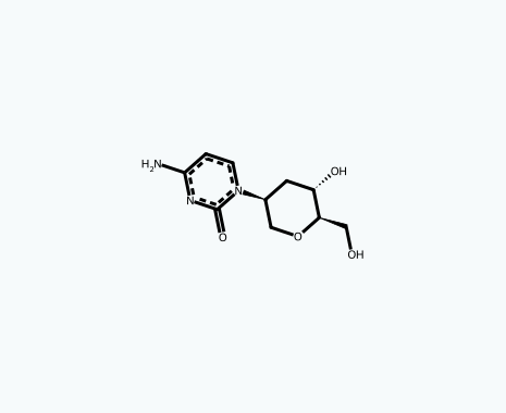 Nc1ccn([C@@H]2CO[C@H](CO)[C@@H](O)C2)c(=O)n1